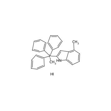 Cc1cccc2[nH]c(P(C)(c3ccccc3)(c3ccccc3)c3ccccc3)cc12.I